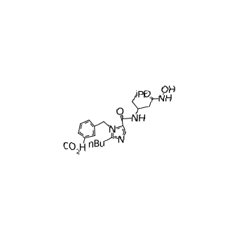 CCCCc1ncc(C(=O)NC(CC(=O)NO)CC(C)C)n1Cc1cccc(C(=O)O)c1